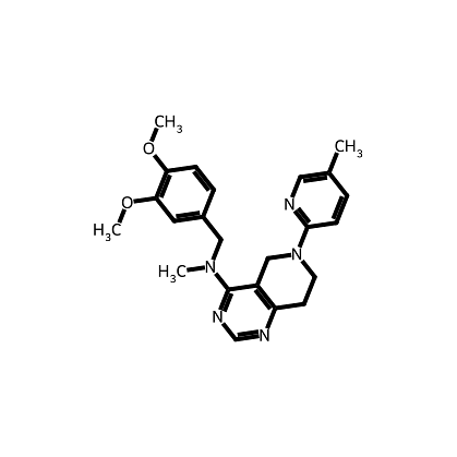 COc1ccc(CN(C)c2ncnc3c2CN(c2ccc(C)cn2)CC3)cc1OC